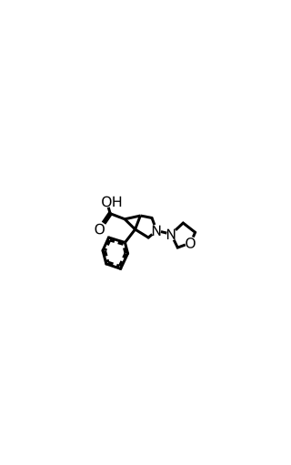 O=C(O)C1C2CN(N3CCOC3)CC21c1ccccc1